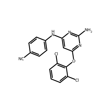 N#Cc1ccc(Nc2cc(Oc3c(Cl)cccc3Cl)nc(N)n2)cc1